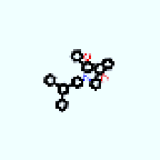 c1ccc(-c2cc(-c3ccccc3)cc(-c3ccc(N(c4ccc5oc6ccccc6c5c4)c4cccc5oc6c7ccccc7ccc6c45)cc3)c2)cc1